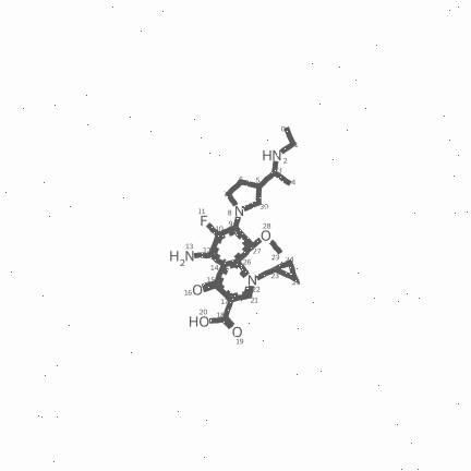 CCNC(C)C1CCN(c2c(F)c(N)c3c(=O)c(C(=O)O)cn(C4CC4)c3c2OC)C1